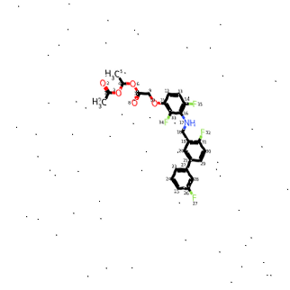 CC(=O)OC(C)OC(=O)COc1ccc(F)c(NCc2cc(-c3cccc(F)c3)ccc2F)c1F